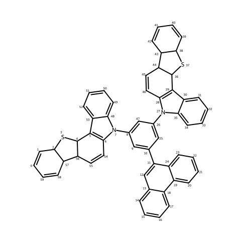 C1=CC2SC3c4c(n(-c5cc(-c6cc7ccccc7c7ccccc67)cc(-n6c7c(c8ccccc86)C6SC8C=CC=CC8C6C=C7)c5)c5ccccc45)C=CC3C2C=C1